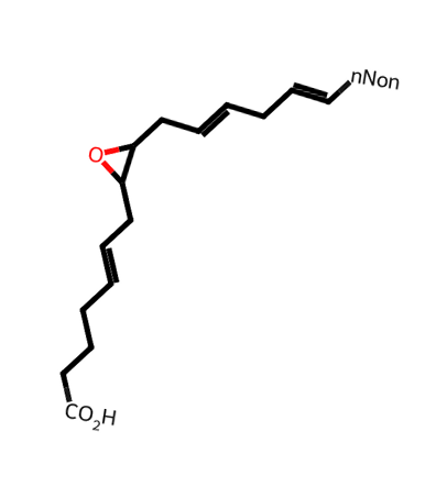 CCCCCCCCCC=CCC=CCC1OC1CC=CCCCC(=O)O